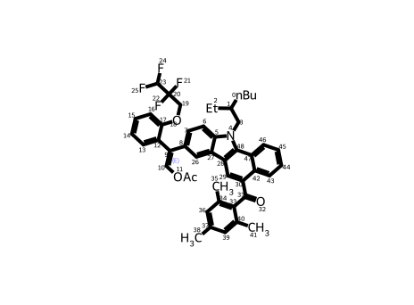 CCCCC(CC)Cn1c2ccc(/C(=C\OC(C)=O)c3ccccc3OCC(F)(F)C(F)F)cc2c2cc(C(=O)c3c(C)cc(C)cc3C)c3ccccc3c21